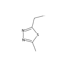 [CH2]Cc1nnc(C)s1